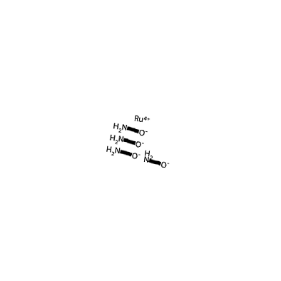 N[O-].N[O-].N[O-].N[O-].[Ru+4]